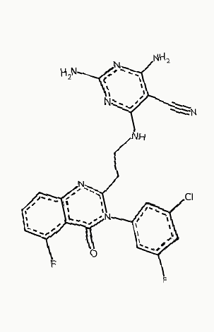 N#Cc1c(N)nc(N)nc1NCCc1nc2cccc(F)c2c(=O)n1-c1cc(F)cc(Cl)c1